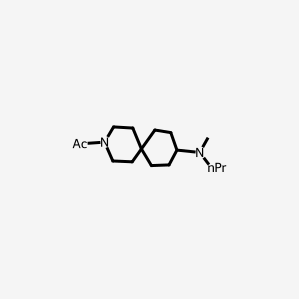 CCCN(C)C1CCC2(CC1)CCN(C(C)=O)CC2